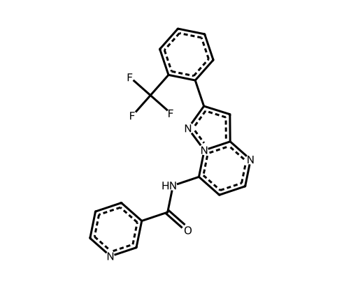 O=C(Nc1ccnc2cc(-c3ccccc3C(F)(F)F)nn12)c1cccnc1